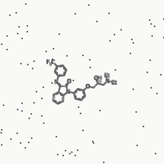 CCN(CC)C[C@H](O)COc1cccc(N2C(=O)C(=Nc3cccc(C(F)(F)F)c3)c3ccccc32)c1